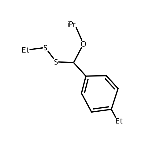 CCSSC(OC(C)C)c1ccc(CC)cc1